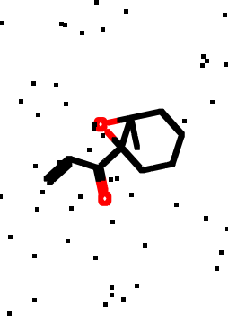 C=CC(=O)C12CCCCC1(C)O2